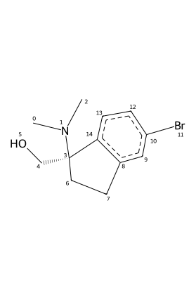 CN(C)[C@]1(CO)CCc2cc(Br)ccc21